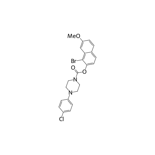 COc1ccc2ccc(OC(=O)N3CCN(c4ccc(Cl)cc4)CC3)c(Br)c2c1